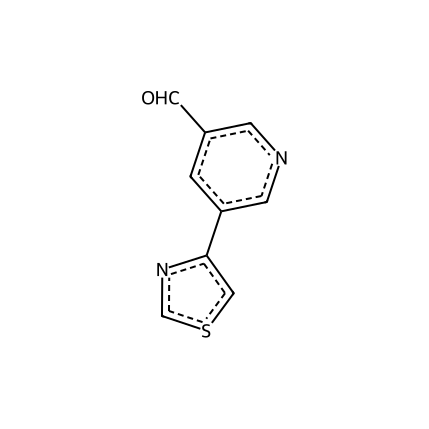 O=Cc1cncc(-c2cscn2)c1